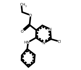 CCOC(=O)c1cnc(Cl)nc1Nc1ccccc1